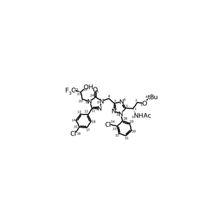 CC(=O)N[C@@H](COC(C)(C)C)c1nc(Cn2nc(-c3ccc(Cl)cc3)n(C[C@H](O)C(F)(F)F)c2=O)nn1-c1ccccc1Cl